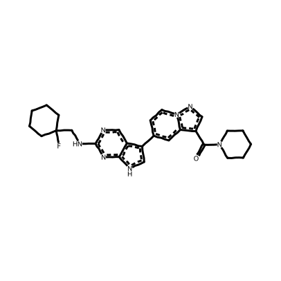 O=C(c1cnn2ccc(-c3c[nH]c4nc(NCC5(F)CCCCC5)ncc34)cc12)N1CCCCC1